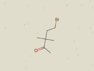 CC(=O)C(C)(C)CCBr